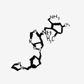 Cc1cc(C)c(CNc2ncnc3nn(Cc4ccc(Cn5cccn5)cc4)cc23)c(CN)c1